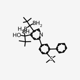 BC(B)(c1cnc(-c2ccc(S(C)(C)C)c(-c3ccccc3)c2)cc1C(B)(O)C(C)(C)C)C(C)(C)C